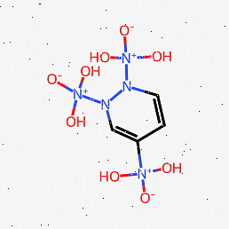 [O-][N+](O)(O)C1=CN([N+]([O-])(O)O)N([N+]([O-])(O)O)C=C1